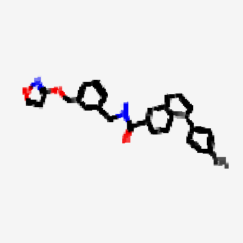 O=C(NCc1cccc(COc2ccon2)c1)c1ccc2c(-c3ccc(C(F)(F)F)cc3)cccc2c1